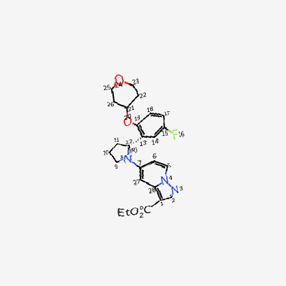 CCOC(=O)c1cnn2ccc(N3CCC[C@@H]3c3cc(F)ccc3OC3CCOCC3)cc12